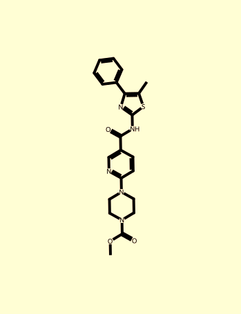 COC(=O)N1CCN(c2ccc(C(=O)Nc3nc(-c4ccccc4)c(C)s3)cn2)CC1